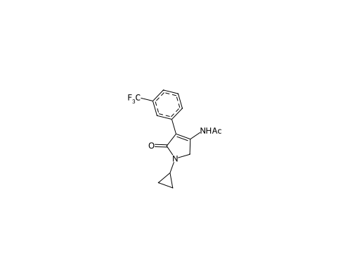 CC(=O)NC1=C(c2cccc(C(F)(F)F)c2)C(=O)N(C2CC2)C1